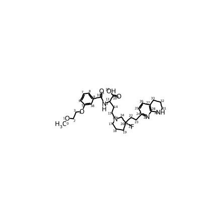 COCCOc1cccc(C(=O)NC(CCN2CCC[C@@](F)(CCc3ccc4c(n3)NCCC4)C2)C(=O)O)c1